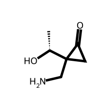 C[C@@H](O)C1(CN)CC1=O